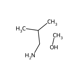 CC(C)CN.CO